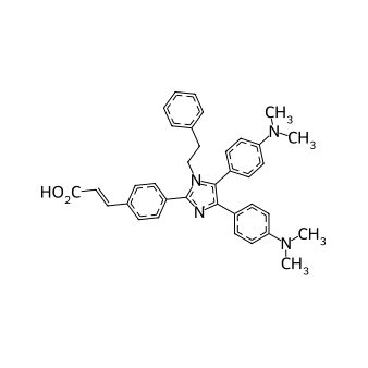 CN(C)c1ccc(-c2nc(-c3ccc(C=CC(=O)O)cc3)n(CCc3ccccc3)c2-c2ccc(N(C)C)cc2)cc1